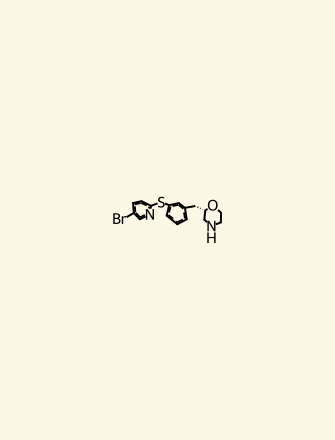 Brc1ccc(Sc2cccc(C[C@H]3CNCCO3)c2)nc1